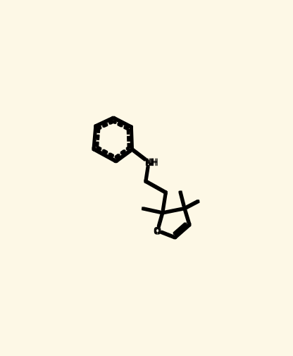 CC1(C)C=COC1(C)CCNc1ccccc1